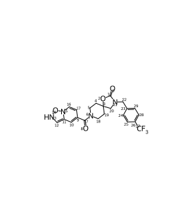 O=C1OC2(CCN(C(=O)C3=CC4=CNON4C=C3)CC2)CN1Cc1ccc(C(F)(F)F)cc1